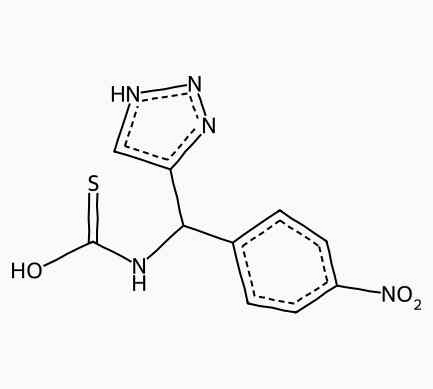 O=[N+]([O-])c1ccc(C(NC(O)=S)c2c[nH]nn2)cc1